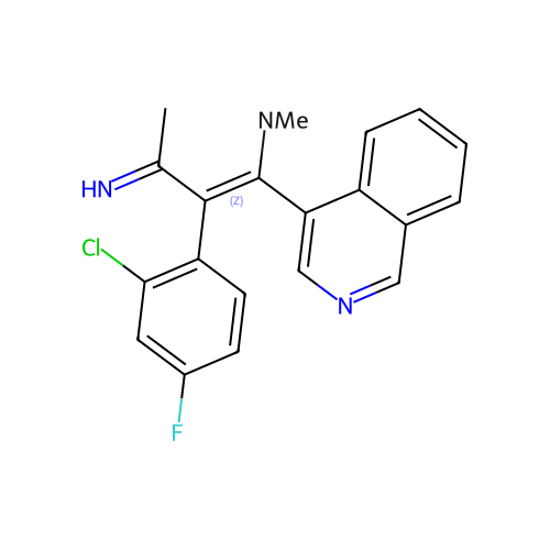 CN/C(=C(\C(C)=N)c1ccc(F)cc1Cl)c1cncc2ccccc12